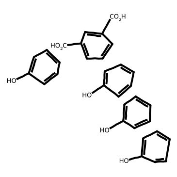 O=C(O)c1cccc(C(=O)O)c1.Oc1ccccc1.Oc1ccccc1.Oc1ccccc1.Oc1ccccc1